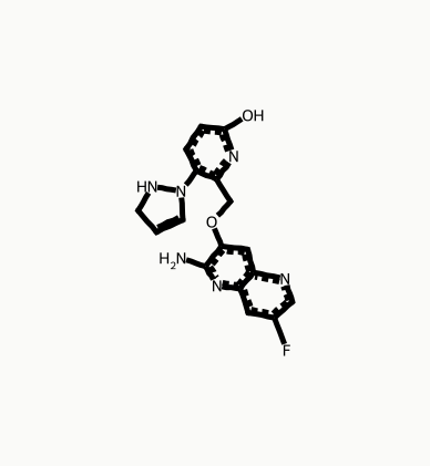 Nc1nc2cc(F)cnc2cc1OCc1nc(O)ccc1N1C=CCN1